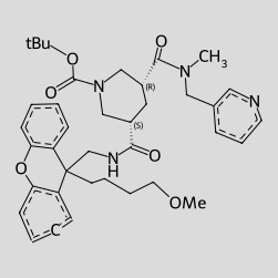 COCCCCC1(CNC(=O)[C@H]2C[C@@H](C(=O)N(C)Cc3cccnc3)CN(C(=O)OC(C)(C)C)C2)c2ccccc2Oc2ccccc21